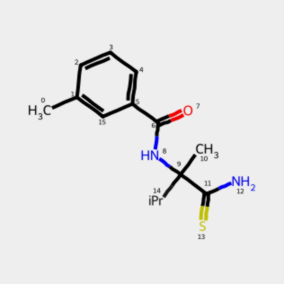 Cc1cccc(C(=O)NC(C)(C(N)=S)C(C)C)c1